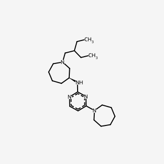 CCC(CC)CN1CCCC[C@H](Nc2nccc(N3CCCCCC3)n2)C1